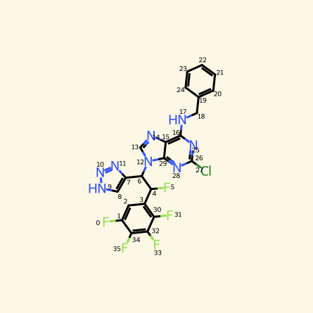 Fc1cc(C(F)C(c2c[nH]nn2)n2cnc3c(NCc4ccccc4)nc(Cl)nc32)c(F)c(F)c1F